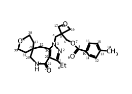 CCc1nn(CC2(COC(=O)c3ccc(C)cc3)COC2)c2c1C(=O)NCC1(CCOCC1)C2